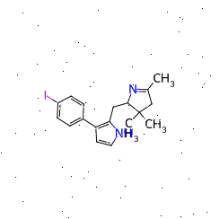 CC1=NC(Cc2[nH]ccc2-c2ccc(I)cc2)C(C)(C)C1